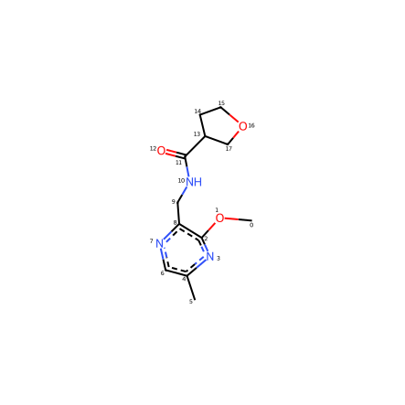 COc1nc(C)cnc1CNC(=O)C1CCOC1